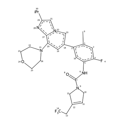 Cc1cc(F)c(NC(=O)N2CC=C(CC(F)(F)F)C2)cc1-c1cc(N2CCOCC2)c2nc(C(C)C)cn2c1